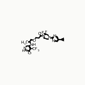 CC(COCCC(=O)N1CCN(c2ncc(C3CC3)cn2)CC1(F)F)Nc1cn[nH]c(=O)c1C(F)(F)F